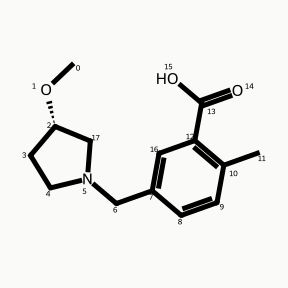 CO[C@H]1CCN(Cc2ccc(C)c(C(=O)O)c2)C1